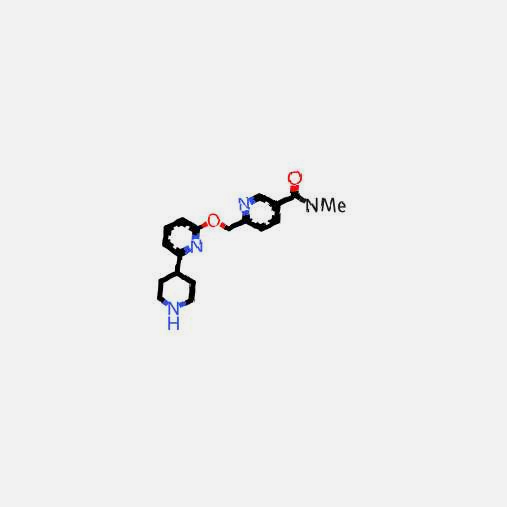 CNC(=O)c1ccc(COc2cccc(C3CCNCC3)n2)nc1